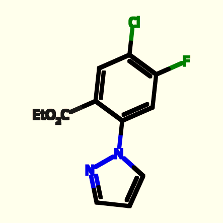 CCOC(=O)c1cc(Cl)c(F)cc1-n1cccn1